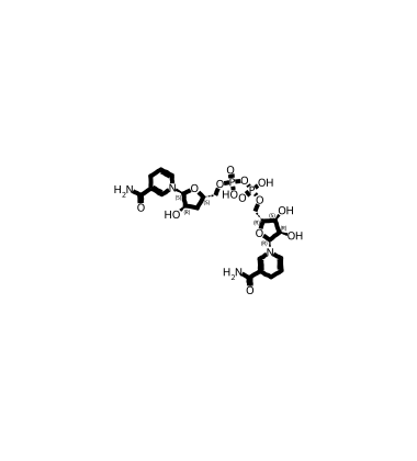 NC(=O)C1=CN([C@@H]2O[C@H](COP(=O)(O)OP(=O)(O)OC[C@@H]3C[C@@H](O)[C@@H](N4C=CCC(C(N)=O)=C4)O3)[C@@H](O)[C@H]2O)C=CC1